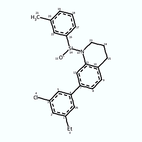 CCc1cc(Cl)cc(-c2ccc3c(c2)N([S+]([O-])c2cccc(C)c2)CCC3)c1